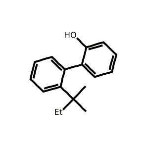 CCC(C)(C)c1ccccc1-c1ccccc1O